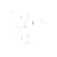 CC(C)(C)OC(=O)N1CCC(O)CC1C(=O)N1C(O)CC[C@H]1c1ccc(F)cc1